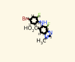 Cn1cnc2c(F)c(Nc3ccc(Br)cc3F)c(C(=O)O)cc21